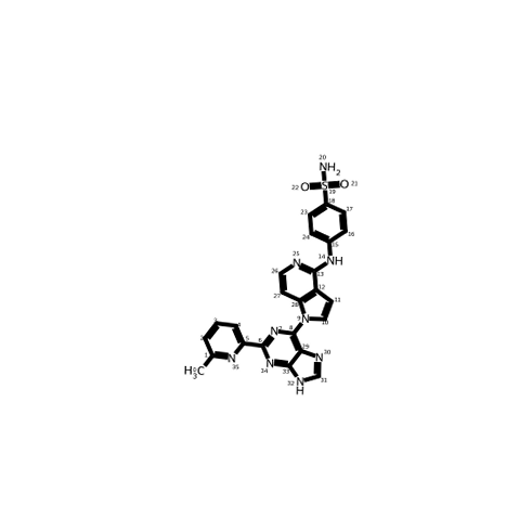 Cc1cccc(-c2nc(-n3ccc4c(Nc5ccc(S(N)(=O)=O)cc5)nccc43)c3nc[nH]c3n2)n1